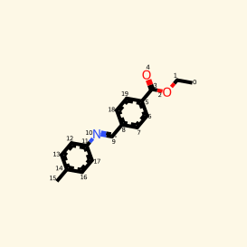 CCOC(=O)c1ccc([C]=Nc2ccc(C)cc2)cc1